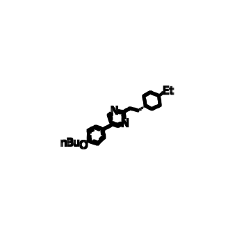 CCCCOc1ccc(-c2cnc(CC[C@H]3CC[C@H](CC)CC3)nc2)cc1